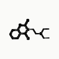 CCN(CC)CCn1c(=O)oc2ccccc2c1=O